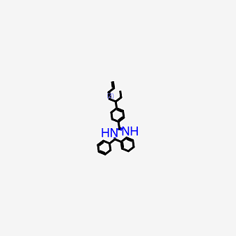 C=C/C=C\C(CC)C1=CC=C(C(=N)NC(C2=CCCC=C2)C2C=CC=CC2)CC1